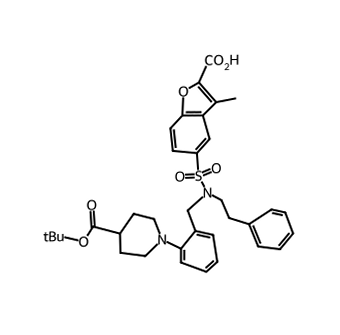 Cc1c(C(=O)O)oc2ccc(S(=O)(=O)N(CCc3ccccc3)Cc3ccccc3N3CCC(C(=O)OC(C)(C)C)CC3)cc12